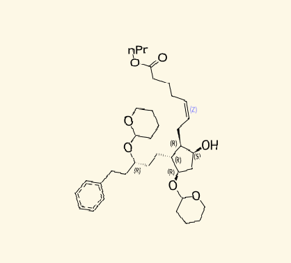 CCCOC(=O)CCC/C=C\C[C@@H]1[C@@H](CC[C@H](CCc2ccccc2)OC2CCCCO2)[C@H](OC2CCCCO2)C[C@@H]1O